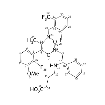 COc1cccc(-c2on(CC(NCCCC(=O)O)c3ccccc3)on(Cc3c(F)cccc3C(F)(F)F)c2C)c1F